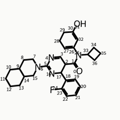 O=C(C1C=NC(N2CCC3CCCCC3C2)=NC1c1ccccc1F)N(C1=CCCC(O)=C1)C1CCC1